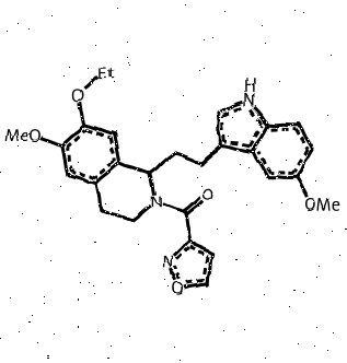 CCOc1cc2c(cc1OC)CCN(C(=O)c1ccon1)C2CCc1c[nH]c2ccc(OC)cc12